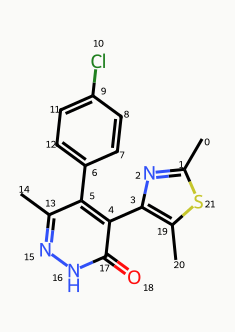 Cc1nc(-c2c(-c3ccc(Cl)cc3)c(C)n[nH]c2=O)c(C)s1